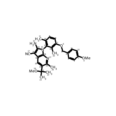 COc1ccc(COc2ccc(C)c(-n3c(N)c(C#N)c4cc(C(C)(C)OC)c(C)nc43)c2C)cc1